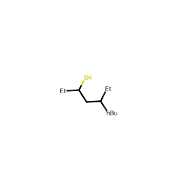 CCCCC(CC)CC(S)CC